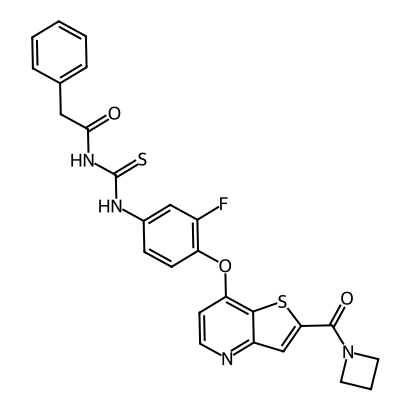 O=C(Cc1ccccc1)NC(=S)Nc1ccc(Oc2ccnc3cc(C(=O)N4CCC4)sc23)c(F)c1